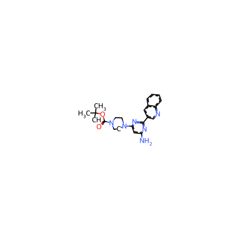 CC(C)(C)OC(=O)N1CCN(c2cc(N)nc(-c3cnc4ccccc4c3)n2)CC1